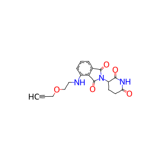 C#CCOCCNc1cccc2c1C(=O)N(C1CCC(=O)NC1=O)C2=O